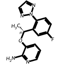 C[C@@H](Oc1cccnc1N)c1cc(F)ccc1-n1nccn1